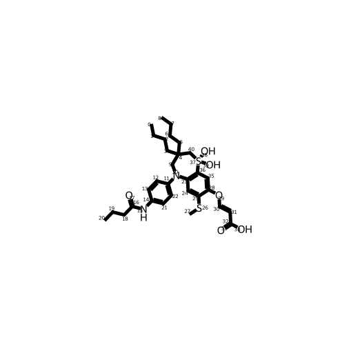 CCCCC1(CCCC)CN(c2ccc(NC(=O)CCC)cc2)c2cc(SC)c(OC=CC(=O)O)cc2S(O)(O)C1